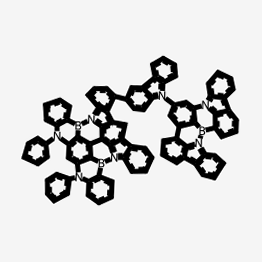 c1ccc(N2c3ccccc3B3c4c2cc2c5c4-c4c6c(cc7c8c(-c9ccc%10c(c9)c9ccccc9n%10-c9cc%10c%11c(c9)-n9c%12ccccc%12c%12cccc(c%129)B%11n9c%11ccccc%11c%11cccc-%10c%119)cccc8n(c47)B5c4ccccc4N2c2ccccc2)c2ccccc2n63)cc1